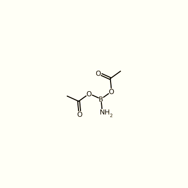 CC(=O)OB(N)OC(C)=O